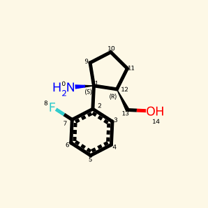 N[C@@]1(c2ccccc2F)CCC[C@H]1CO